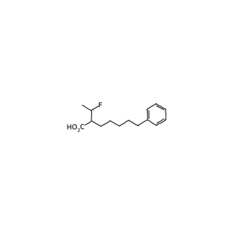 C[C](F)C(CCCCCc1ccccc1)C(=O)O